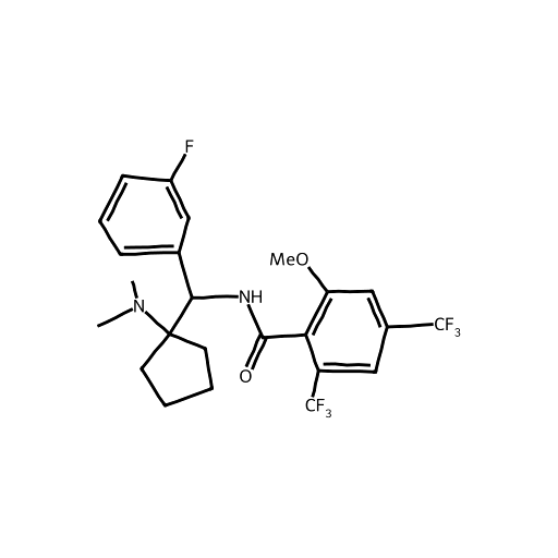 COc1cc(C(F)(F)F)cc(C(F)(F)F)c1C(=O)NC(c1cccc(F)c1)C1(N(C)C)CCCC1